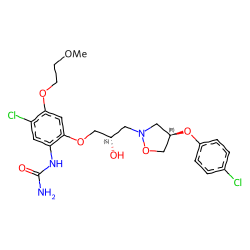 COCCOc1cc(OC[C@@H](O)CN2C[C@@H](Oc3ccc(Cl)cc3)CO2)c(NC(N)=O)cc1Cl